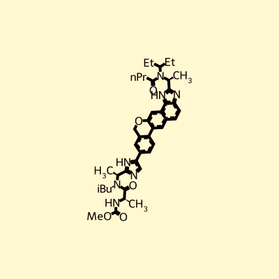 CCCC(=O)N(C(CC)CC)[C@@H](C)c1nc2ccc3cc4c(cc3c2[nH]1)OCc1cc(-c2cnc([C@H](C)N(C(=O)[C@H](C)NC(=O)OC)[C@@H](C)CC)[nH]2)ccc1-4